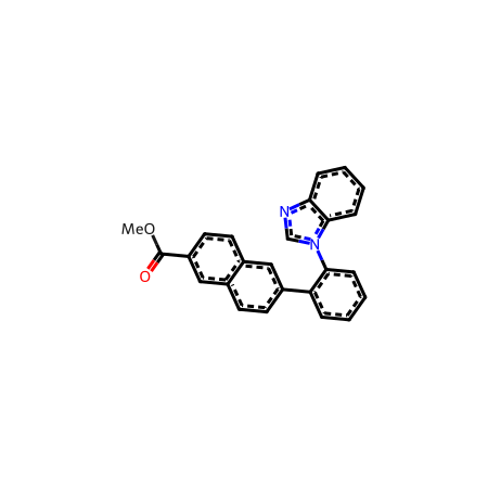 COC(=O)c1ccc2cc(-c3ccccc3-n3cnc4ccccc43)ccc2c1